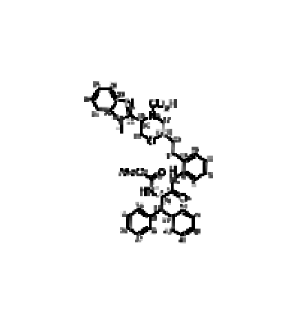 COC(=O)N[C@H](C(=O)Nc1ccccc1CC[C@@H]1CN(C(=O)O)[C@H](c2nc3ccccc3[nH]2)CO1)C(c1ccccc1)c1ccccc1